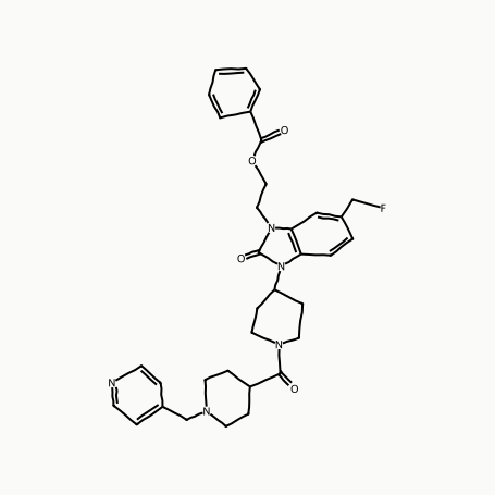 O=C(OCCn1c(=O)n(C2CCN(C(=O)C3CCN(Cc4ccncc4)CC3)CC2)c2ccc(CF)cc21)c1ccccc1